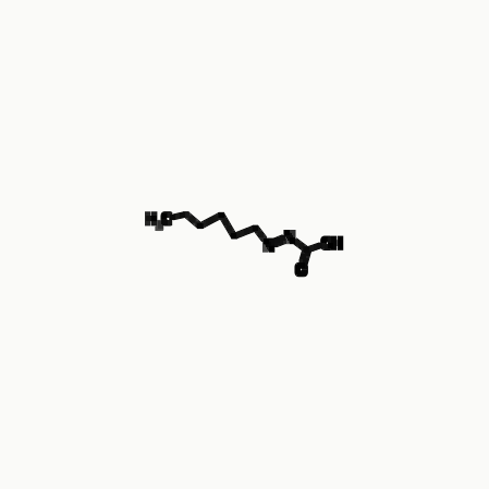 CCCCCCN=NC(=O)O